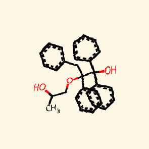 CC(O)COC(Cc1ccccc1)(c1ccccc1)C(O)(c1ccccc1)c1ccccc1